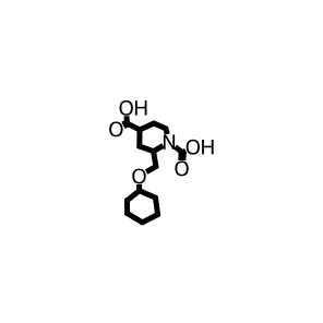 O=C(O)C1CCN(C(=O)O)C(COC2CCCCC2)C1